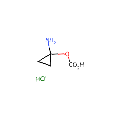 Cl.NC1(OC(=O)O)CC1